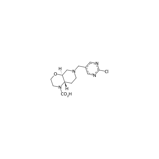 O=C(O)N1CCO[C@H]2CN(Cc3cnc(Cl)nc3)CC[C@@H]21